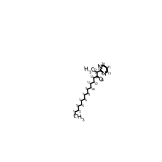 CCCCCCCCCCCCCCC(=O)C(C)c1ncccn1